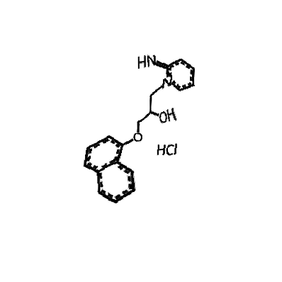 Cl.N=c1ccccn1CC(O)COc1cccc2ccccc12